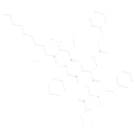 CC(C)CCCCCCC(O)C(C)C(=O)N(C)C(CC(C)C)C(=O)NC(C(=O)NC(CNC(=O)OCc1ccccc1)C(=O)NC(C(=O)NCC(=O)O)C(C)OCc1ccccc1)C1CCCCC1